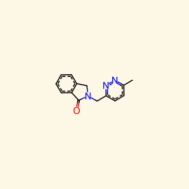 Cc1ccc(CN2Cc3ccccc3C2=O)nn1